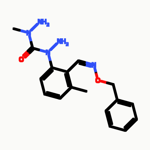 Cc1cccc(N(N)C(=O)N(C)N)c1/C=N\OCc1ccccc1